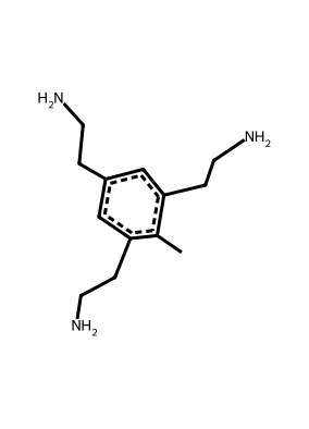 Cc1c(CCN)cc(CCN)cc1CCN